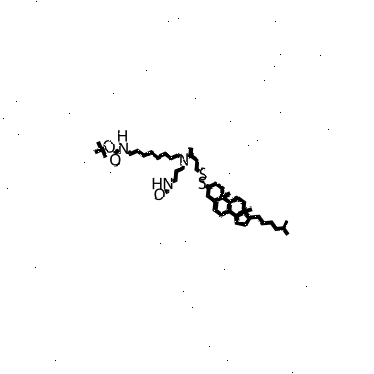 C=C(CCSSC1CCC2(C)C(=CCC3C2CCC2(C)C(CCCCC(C)C)CCC32)C1)N(CCCCCCCCNC(=O)OC(C)(C)C)CCCNC=O